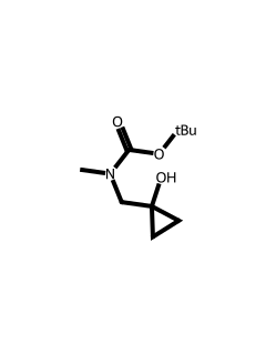 CN(CC1(O)CC1)C(=O)OC(C)(C)C